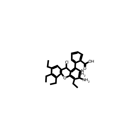 CCc1cc2c(c(CC)c1CC)Oc1c(CC)c(N)c(N)c(-c3ccccc3C(=O)O)c1C2Cl